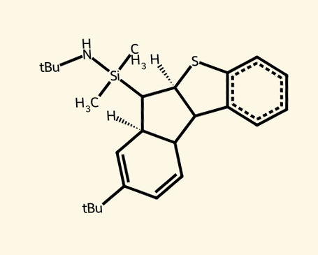 CC(C)(C)N[Si](C)(C)C1[C@@H]2C=C(C(C)(C)C)C=CC2C2c3ccccc3S[C@@H]21